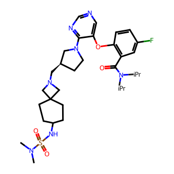 CC(C)N(C(=O)c1cc(F)ccc1Oc1cncnc1N1CC[C@@H](CN2CC3(CCC(NS(=O)(=O)N(C)C)CC3)C2)C1)C(C)C